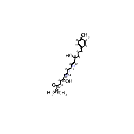 Cc1ccc(CCCC(O)/C=C/C=C/C=C/C(O)CCC(=O)N(C)C)cc1